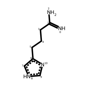 N=C(N)CCCc1c[nH]cn1